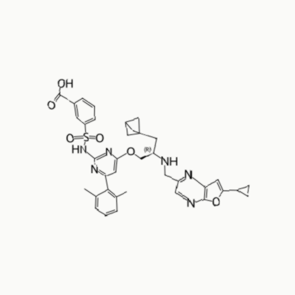 Cc1cccc(C)c1-c1cc(OC[C@@H](CC23CC(C2)C3)NCc2cnc3oc(C4CC4)cc3n2)nc(NS(=O)(=O)c2cccc(C(=O)O)c2)n1